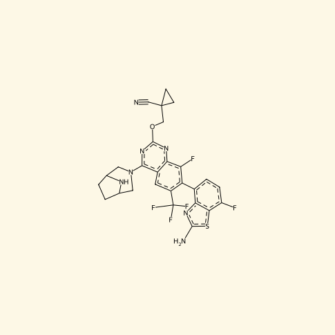 N#CC1(COc2nc(N3CC4CCC(C3)N4)c3cc(C(F)(F)F)c(-c4ccc(F)c5sc(N)nc45)c(F)c3n2)CC1